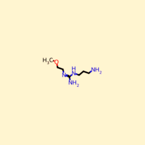 COCCN=C(N)NCCCN